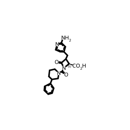 Nc1cc(CC2C(=O)N(C(=O)N3CCCC(c4ccccc4)C3)[C@@H]2C(=O)O)ccn1